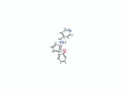 c1ccc2c(c1)oc1c(NCc3ccncc3)cccc12